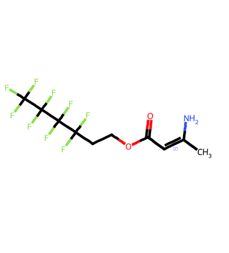 C/C(N)=C/C(=O)OCCC(F)(F)C(F)(F)C(F)(F)C(F)(F)F